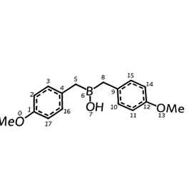 COc1ccc(CB(O)Cc2ccc(OC)cc2)cc1